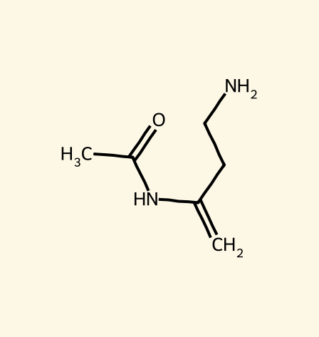 C=C(CCN)NC(C)=O